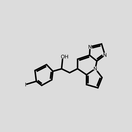 OC(CC1C=C2N=CN=C2n2cccc21)c1ccc(I)cc1